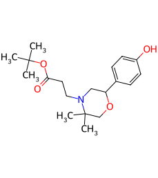 CC(C)(C)OC(=O)CCN1CC(c2ccc(O)cc2)OCC1(C)C